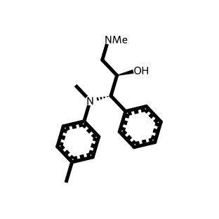 CNC[C@@H](O)[C@H](c1ccccc1)N(C)c1ccc(C)cc1